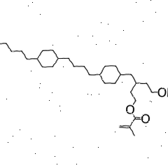 C=C(C)C(=O)OCCC(CCO)CC1CCC(CCCCC2CCC(CCCCC)CC2)CC1